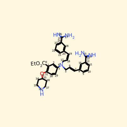 CCOC(=O)c1cc(N(CC=Cc2cccc(C(=N)N)c2)CC=Cc2cccc(C(=N)N)c2)ccc1OC1CCNCC1